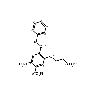 CCOC(=O)CCOc1cc(C(=O)OCC)c([N+](=O)[O-])cc1OCc1ccccc1